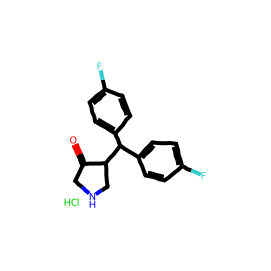 Cl.O=C1CNCC1C(c1ccc(F)cc1)c1ccc(F)cc1